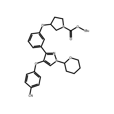 CC(C)(C)OC(=O)N1CCC(Oc2cccc(-c3nn(C4CCCCO4)cc3Oc3ccc(C#N)cc3)c2)C1